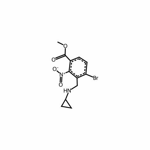 COC(=O)c1ccc(Br)c(CNC2CC2)c1[N+](=O)[O-]